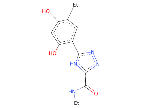 CCNC(=O)c1nnc(-c2cc(CC)c(O)cc2O)[nH]1